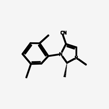 Cc1ccc(C)c(N2C(C#N)=CN(C)[C@@H]2C)c1